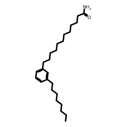 CCCCCCCCc1cccc(CCCCCCCCCCCC(N)=O)c1